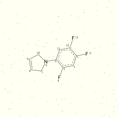 Fc1cc(F)c(N2CC=CC2)cc1F